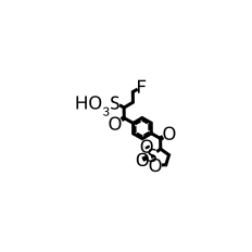 O=C(c1ccc(C(=O)C2CCOS2(=O)=O)cc1)C(CCF)S(=O)(=O)O